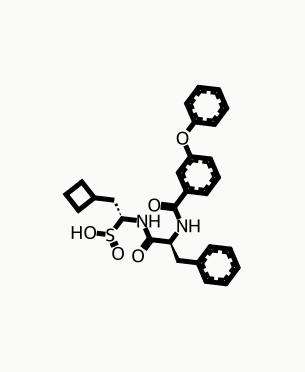 O=C(N[C@@H](Cc1ccccc1)C(=O)N[C@@H](CC1CCC1)S(=O)O)c1cccc(Oc2ccccc2)c1